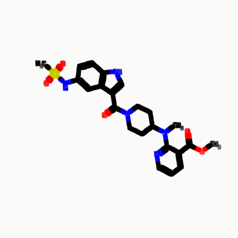 COC(=O)c1cccnc1N(C)C1CCN(C(=O)c2c[nH]c3ccc(NS(C)(=O)=O)cc23)CC1